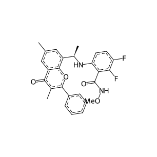 CONC(=O)c1c(N[C@H](C)c2cc(C)cc3c(=O)c(C)c(-c4ccccc4)oc23)ccc(F)c1F